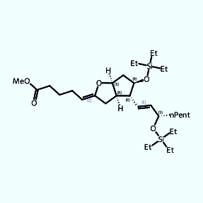 CCCCC[C@@H](/C=C/[C@@H]1[C@H]2C/C(=C/CCCC(=O)OC)O[C@H]2C[C@H]1O[Si](CC)(CC)CC)O[Si](CC)(CC)CC